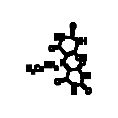 N.O=C1NC(=O)C(=Nc2c(O)[nH]c(=O)[nH]c2=O)C(=O)N1.[CaH2]